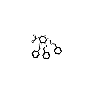 O=C(Cl)[C@@H]1CO[C@H](COCc2ccccc2)[C@H](OCc2ccccc2)[C@@H]1OCc1ccccc1